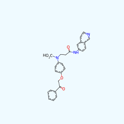 O=C(CCN(C(=O)O)c1ccc(OCC(=O)c2ccccc2)cc1)Nc1ccc2cnccc2c1